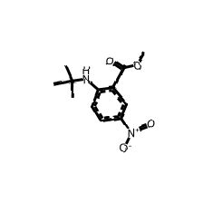 COC(=O)c1cc([N+](=O)[O-])ccc1NC(C)(C)C